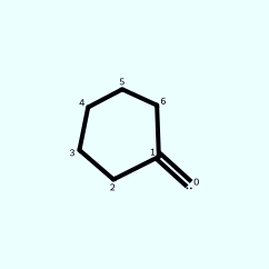 [C]=C1CCCCC1